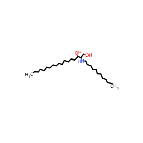 CCCCCCCCCCCCC/C=C/C(O)C(CO)NCCCCCCCCCCCC